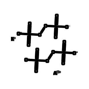 O=S(=O)([O-])OOS(=O)(=O)[O-].O=S(=O)([O-])OOS(=O)(=O)[O-].[Al+3].[K+]